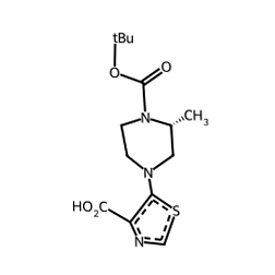 C[C@@H]1CN(c2scnc2C(=O)O)CCN1C(=O)OC(C)(C)C